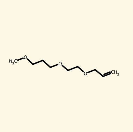 C=CCOCCOCCCOC